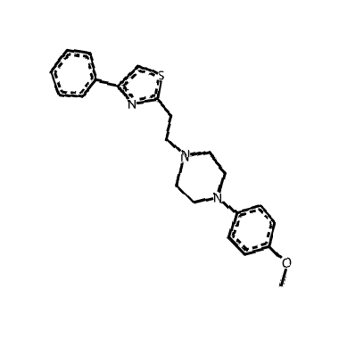 COc1ccc(N2CCN(CCc3nc(-c4ccccc4)cs3)CC2)cc1